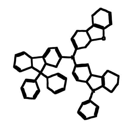 C1=CCC(C2(c3ccccc3)C3CC(N(C4=CC5C6=C(CCCC6)N(c6ccccc6)C5C=C4)C4=CCC5C6=C(C=CCC6)OC5C4)=CC=C3C3C=CC=CC32)C=C1